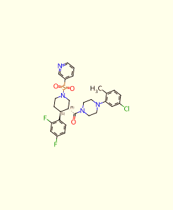 Cc1ccc(Cl)cc1N1CCN(C(=O)[C@H]2CN(S(=O)(=O)c3cccnc3)CC[C@@H]2c2ccc(F)cc2F)CC1